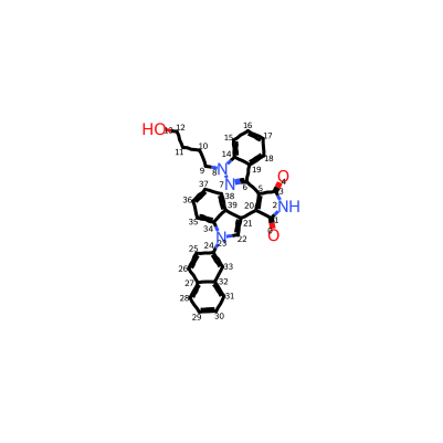 O=C1NC(=O)C(c2nn(CCCCO)c3ccccc23)=C1c1cn(-c2ccc3ccccc3c2)c2ccccc12